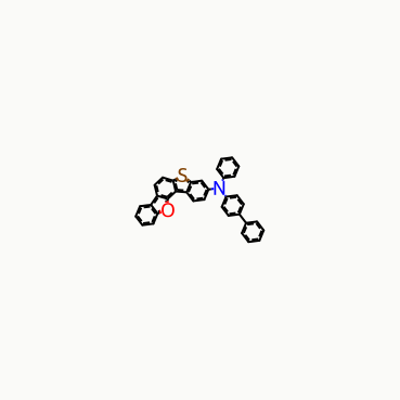 c1ccc(-c2ccc(N(c3ccccc3)c3ccc4c(c3)sc3ccc5c6ccccc6oc5c34)cc2)cc1